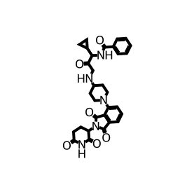 O=C1CCC(N2C(=O)c3cccc(N4CCC(NCC(=O)C(NC(=O)c5ccccc5)C5CC5)CC4)c3C2=O)C(=O)N1